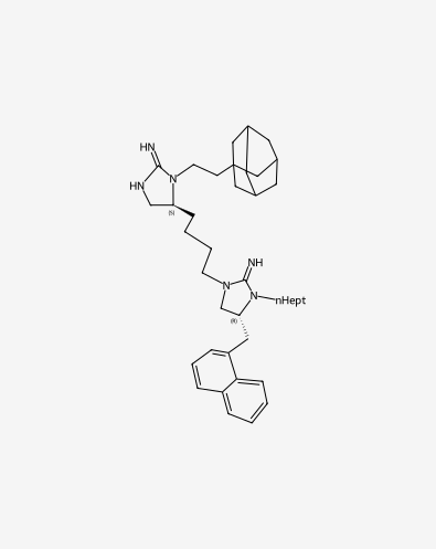 CCCCCCCN1C(=N)N(CCCC[C@H]2CNC(=N)N2CCC23CC4CC(CC(C4)C2)C3)C[C@H]1Cc1cccc2ccccc12